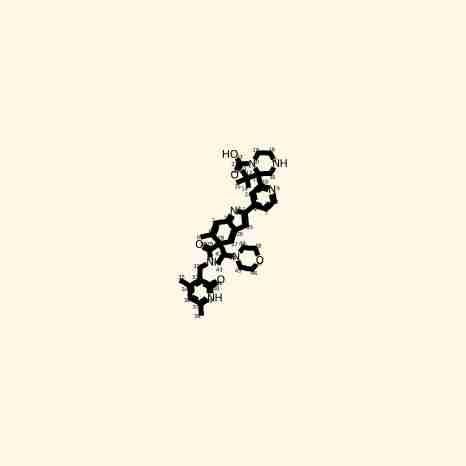 CC1=CC2=NC(c3ccnc(C4(C(C)(C)C)CNCCN4C(=O)O)c3)=CC2=CC1(C(=O)NCc1c(C)cc(C)[nH]c1=O)C(C)N1CCOCC1